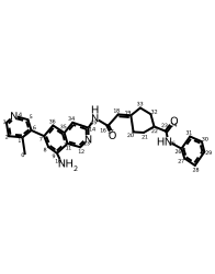 Cc1ccncc1-c1cc(N)c2cnc(NC(=O)C=C3CCC(C(=O)Nc4ccccc4)CC3)cc2c1